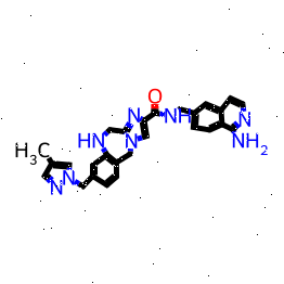 Cc1cnn(Cc2ccc3c(c2)NCc2nc(C(=O)NCc4ccc5c(N)nccc5c4)cn2C3)c1